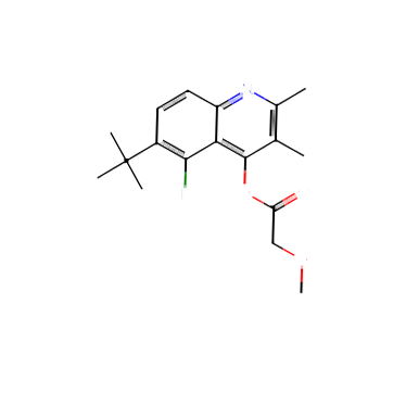 COCC(=O)Oc1c(C)c(C)nc2ccc(C(C)(C)C)c(F)c12